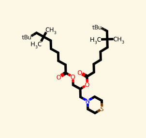 CC(C)(C)CC(C)(C)CCCCCC(=O)OCC(CN1CCSCC1)OC(=O)CCCCCC(C)(C)CC(C)(C)C